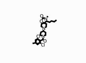 CCCCC1N(C)C(=O)OC12CCN(C1CCN(C(=O)c3c(Cl)cc(C)cc3Cl)CC1)CC2